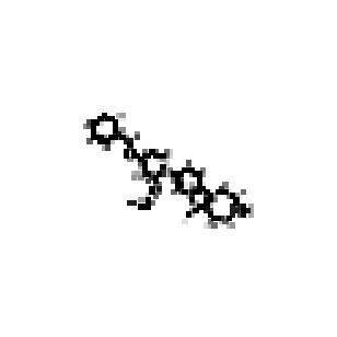 Cl.Cn1c2c(c3ccc(-n4ccc(OCc5ccccc5)cc4=O)cc31)CCNCC2